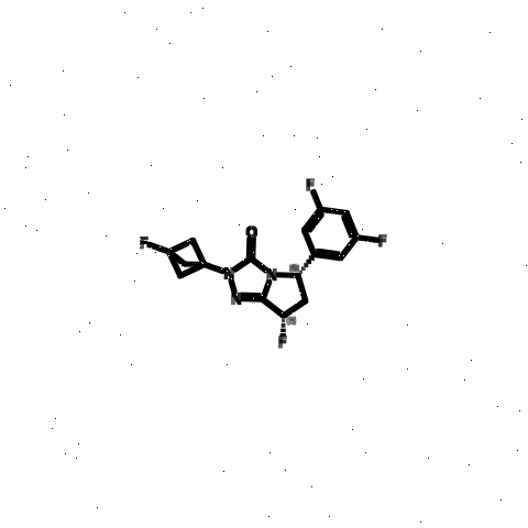 O=c1n(C23CC(F)(C2)C3)nc2n1[C@H](c1cc(F)cc(F)c1)C[C@@H]2F